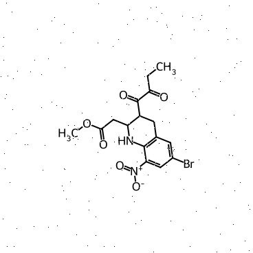 CCC(=O)C(=O)C1Cc2cc(Br)cc([N+](=O)[O-])c2NC1CC(=O)OC